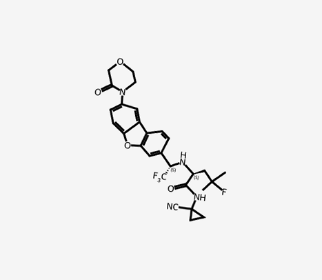 CC(C)(F)C[C@H](N[C@@H](c1ccc2c(c1)oc1ccc(N3CCOCC3=O)cc12)C(F)(F)F)C(=O)NC1(C#N)CC1